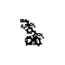 CC(CC1CN(C(C)(C)CC(C)(C)C)CCO1)CC1(N2CCOCC2)CCCCC1